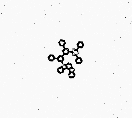 c1ccc(-c2cc(-c3cc(-c4ccccc4)cc(-n4c5ccccc5c5c6c(ccc54)sc4ccccc46)c3)cc(-c3nc(-c4ccccc4)nc(-c4ccccc4)n3)c2)cc1